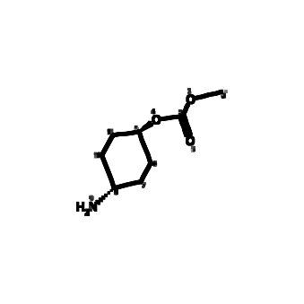 [CH2]OC(=O)O[C@H]1CC[C@H](N)CC1